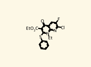 CCOC(=O)c1c(Sc2ccccc2)n(CC)c2nc(Cl)c(F)cc2c1=O